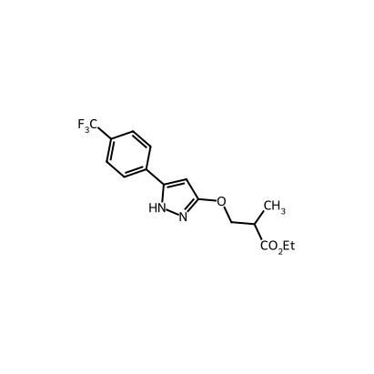 CCOC(=O)C(C)COc1cc(-c2ccc(C(F)(F)F)cc2)[nH]n1